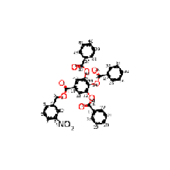 O=C(OCc1cccc([N+](=O)[O-])c1)c1cc(OC(=O)c2ccccc2)c(OC(=O)c2ccccc2)c(OC(=O)c2ccccc2)c1